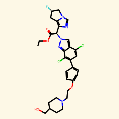 CCOC(=O)[C@@H](c1ncn2c1C[C@@H](F)C2)n1cc2c(Cl)cc(-c3ccc(OCCN4CCC(CO)CC4)cc3)c(Cl)c2n1